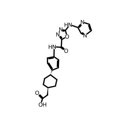 O=C(O)C[C@H]1CC[C@H](c2ccc(NC(=O)c3nnc(Nc4cnccn4)o3)cc2)CC1